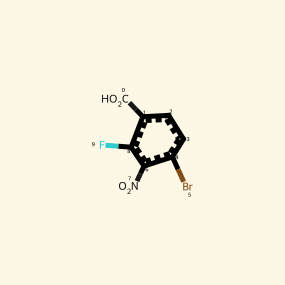 O=C(O)c1ccc(Br)c([N+](=O)[O-])c1F